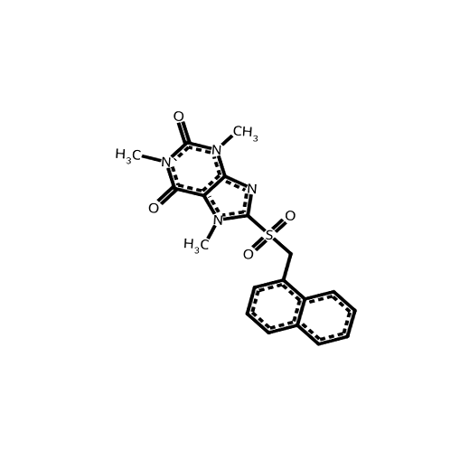 Cn1c(=O)c2c(nc(S(=O)(=O)Cc3cccc4ccccc34)n2C)n(C)c1=O